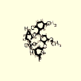 COC1CN(C(=O)c2cc(C)ccc2C)CC1Oc1cc(NS(=O)(=O)N2CC3CC3C2)cc(F)n1